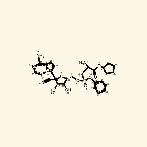 CC(NP(=O)(OC[C@H]1O[C@@](C#N)(c2ccc3c(N)ncnn23)[C@H](O)[C@@H]1O)Oc1ccccc1)C(=O)OC1CCCC1